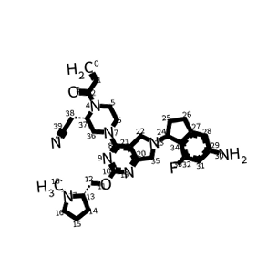 C=CC(=O)N1CCN(c2nc(OC[C@@H]3CCCN3C)nc3c2CN(C2CCc4cc(N)cc(F)c42)C3)C[C@@H]1CC#N